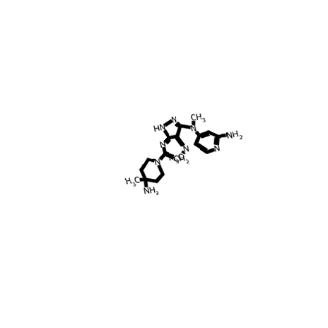 C=C(/N=C1/NN=C(N(C)c2ccnc(N)c2)/C1=N/C)N1CCC(C)(N)CC1